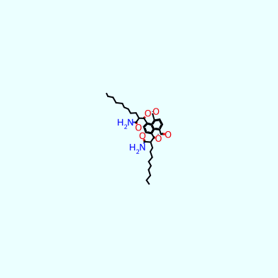 CCCCCCCCCC(C(N)=O)C(=O)c1ccc(C(=O)C(CCCCCCCCC)C(N)=O)c2c([C]=O)ccc([C]=O)c12